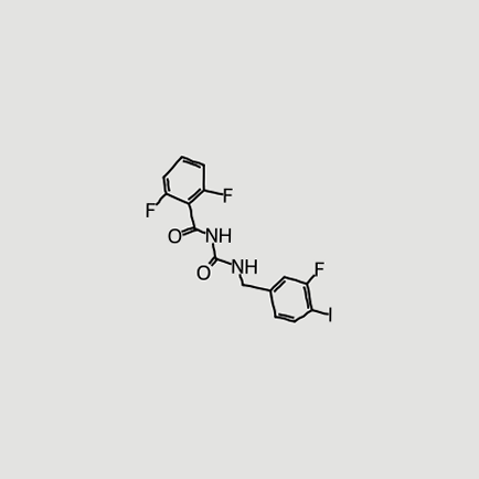 O=C(NCc1ccc(I)c(F)c1)NC(=O)c1c(F)cccc1F